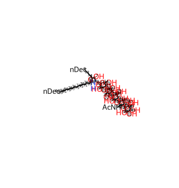 CCCCCCCCCCCCC/C=C/[C@@H](O)[C@H](CO[C@@H]1OC(CO)[C@@H](O[C@@H]2OC(CO)[C@H](O[C@@H]3OC(CO)[C@H](O)[C@H](O[C@@H]4OC(CO)[C@H](O)[C@H](O[C@@H]5OC(CO)[C@H](O)[C@H](O)C5O)C4NC(C)=O)C3O)[C@H](O)C2O)[C@H](O)C1O)NC(=O)CCCCCCCCCCCCCCCCCCCCCCCCC